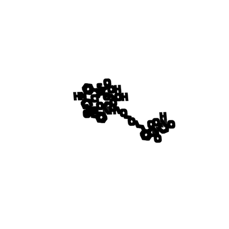 O=C(O)COc1c(C(=O)O)sc(-c2cccc(NC3CCN(S(=O)(=O)Cc4cccc(NC(=O)CCOCCOCCOCCCc5cccc6c5C(=O)N(C5CCC(=O)NC5=O)C6=O)c4)CC3)c2)c1Cl